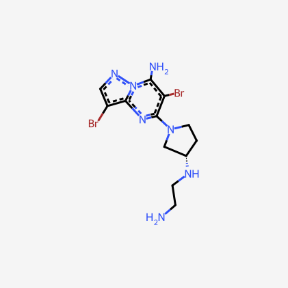 NCCN[C@H]1CCN(c2nc3c(Br)cnn3c(N)c2Br)C1